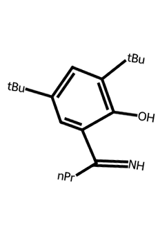 CCCC(=N)c1cc(C(C)(C)C)cc(C(C)(C)C)c1O